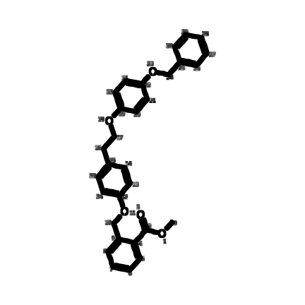 COC(=O)c1ccccc1COc1ccc(CCOc2ccc(OCc3ccccc3)cc2)cc1